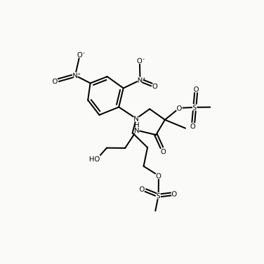 CC(CN(CCCOS(C)(=O)=O)c1ccc([N+](=O)[O-])cc1[N+](=O)[O-])(OS(C)(=O)=O)C(=O)NCCO